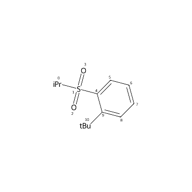 CC(C)S(=O)(=O)c1ccccc1C(C)(C)C